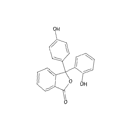 O=C1OC(c2ccc(O)cc2)(c2ccccc2O)c2ccccc21